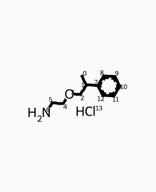 CC(COCCN)c1ccccc1.Cl